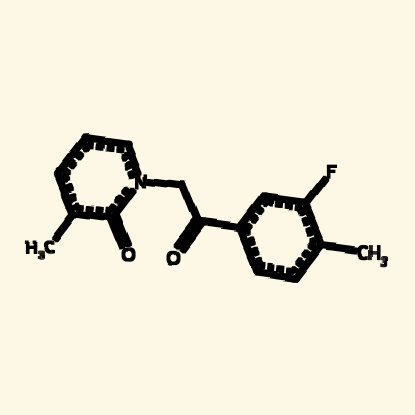 Cc1ccc(C(=O)Cn2cccc(C)c2=O)cc1F